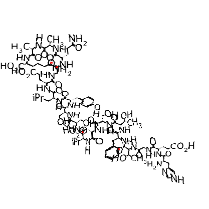 CC(C)C[C@H](NC(=O)[C@H](Cc1ccc(O)cc1)NC(=O)[C@H](CO)NC(=O)[C@H](CO)NC(=O)[C@@H](NC(=O)[C@H](CC(=O)O)NC(=O)[C@H](CO)NC(=O)[C@@H](NC(=O)[C@H](Cc1ccccc1)NC(=O)[C@@H](NC(=O)CNC(=O)[C@H](CCC(=O)O)NC(=O)[C@@H](N)Cc1c[nH]cn1)[C@@H](C)O)[C@@H](C)O)C(C)C)C(=O)N[C@@H](CCC(=O)O)C(=O)NCC(=O)N[C@@H](CCC(N)=O)C(=O)N[C@@H](C)C(=O)N[C@@H](C)C(=O)N[C@@H](CCCCN)C(=O)O